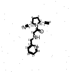 C#C[C@H]1CC[C@@H](C#N)N1C(=O)CNCc1ccccn1